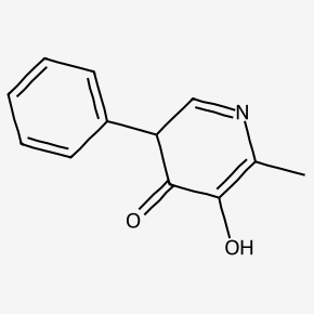 CC1=C(O)C(=O)C(c2ccccc2)C=N1